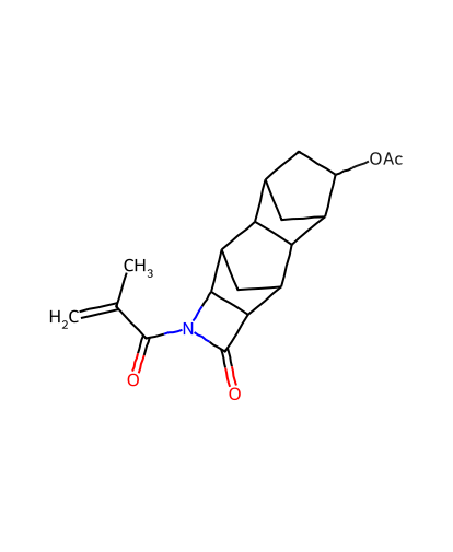 C=C(C)C(=O)N1C(=O)C2C3CC(C4C5CC(OC(C)=O)C(C5)C34)C21